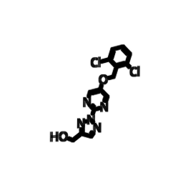 OCc1cnn(-c2ncc(OCc3c(Cl)cccc3Cl)cn2)n1